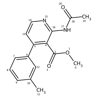 COC(=O)c1c(-c2cccc(C)c2)ccnc1NC(C)=O